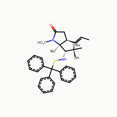 CC=C[C@@H]1CC(=O)N(C(=O)O)[C@@]1([C@@H](NSC(c1ccccc1)(c1ccccc1)c1ccccc1)[C@](C)(CCC)OC)C(C)(C)C